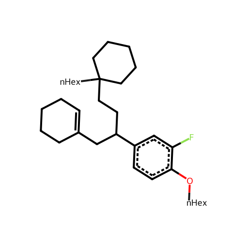 CCCCCCOc1ccc(C(CCC2(CCCCCC)CCCCC2)CC2=CCCCC2)cc1F